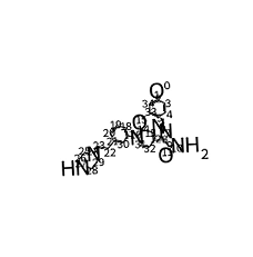 COc1ccc(-n2nc(C(N)=O)c3c2C(=O)N(c2cccc(CCN4CCNCC4)c2)CC3)cc1